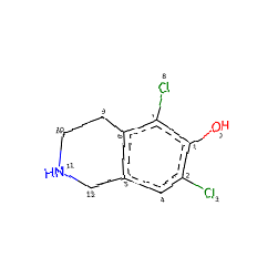 Oc1c(Cl)cc2c(c1Cl)CCNC2